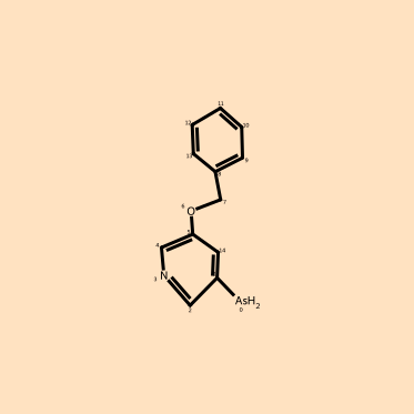 [AsH2]c1cncc(OCc2ccccc2)c1